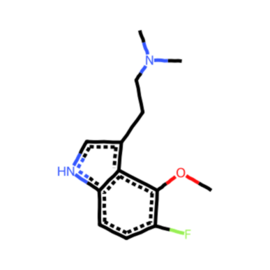 COc1c(F)ccc2[nH]cc(CCN(C)C)c12